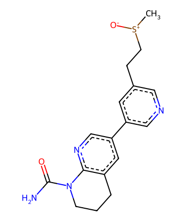 C[S+]([O-])CCc1cncc(-c2cnc3c(c2)CCCN3C(N)=O)c1